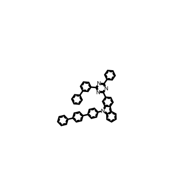 c1ccc(-c2ccc(-c3ccc(-n4c5ccccc5c5ccc(-c6nc(-c7ccccc7)nc(-c7cccc(-c8ccccc8)c7)n6)cc54)cc3)cc2)cc1